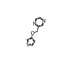 [c]1sccc1OCc1cnccn1